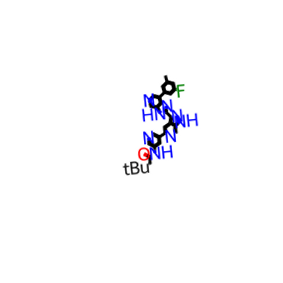 Cc1cc(F)cc(-c2cncc3[nH]c(-c4n[nH]c5cnc(-c6cncc(NC(=O)CC(C)(C)C)c6)cc45)nc23)c1